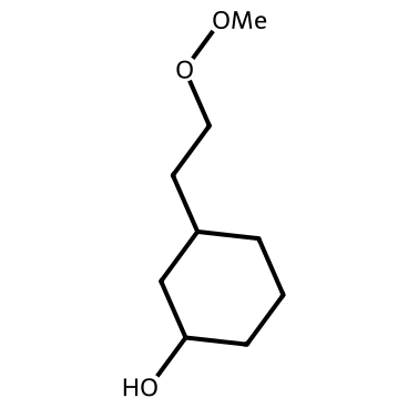 COOCCC1CCCC(O)C1